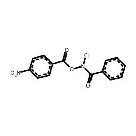 O=C(ON(Cl)C(=O)c1ccccc1)c1ccc([N+](=O)[O-])cc1